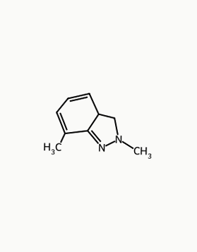 CC1=CC=CC2CN(C)N=C12